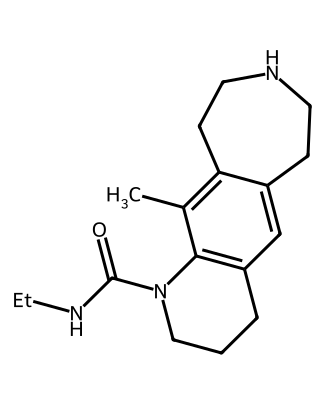 CCNC(=O)N1CCCc2cc3c(c(C)c21)CCNCC3